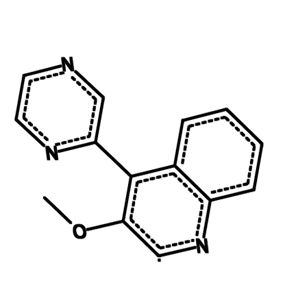 COc1[c]nc2ccccc2c1-c1cnccn1